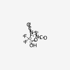 O=C(O)C(F)(F)F.O=C=NSN=C=O